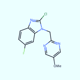 COc1cnc(Cn2c(Cl)nc3ccc(F)cc32)nc1